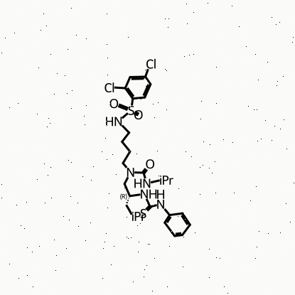 CC(C)C[C@H](CN(CCCCNS(=O)(=O)c1ccc(Cl)cc1Cl)C(=O)NC(C)C)NC(=S)Nc1ccccc1